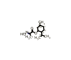 C/C(=N\O)C(=O)OC1C[C@@H](C)CCC1C(C)C